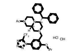 CC(=O)N1CCN2[C@H](CN(Cc3cc(-n4nnnc4C(F)(F)F)ccc3OC(C)C)C[C@H]2C(c2ccccc2)c2ccccc2)C1.Cl.Cl